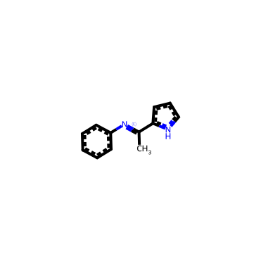 C/C(=N\c1ccccc1)c1ccc[nH]1